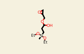 CCO[Si](C)(CCC(O)OCC1CO1)OCC